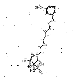 O=Cc1cccc(OCCOCCOCCOCC(O)(P(O)O)P(=O)(O)O)c1